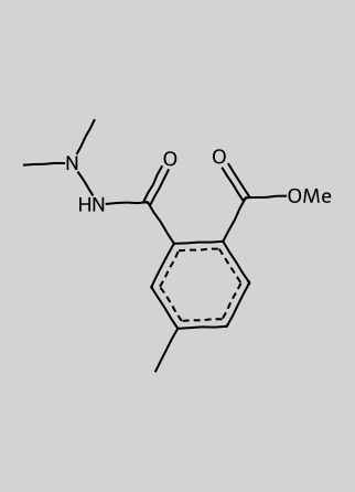 COC(=O)c1ccc(C)cc1C(=O)NN(C)C